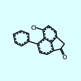 O=C1Cc2ccc(Cl)c3c(-c4ccccc4)ccc1c23